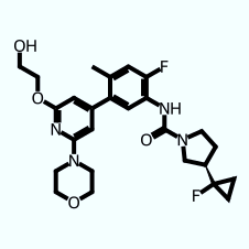 Cc1cc(F)c(NC(=O)N2CC[C@@H](C3(F)CC3)C2)cc1-c1cc(OCCO)nc(N2CCOCC2)c1